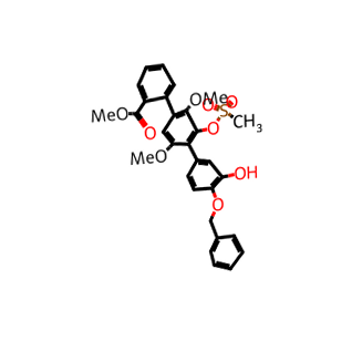 COC(=O)c1ccccc1-c1cc(OC)c(-c2ccc(OCc3ccccc3)c(O)c2)c(OS(C)(=O)=O)c1OC